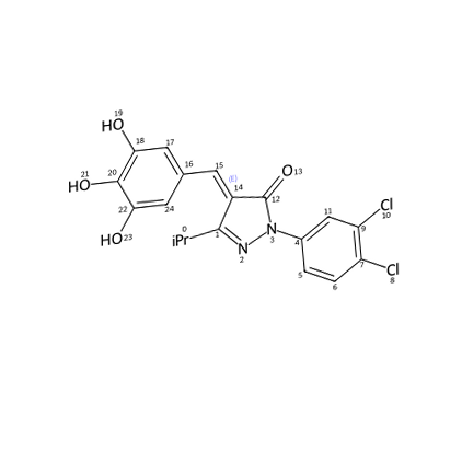 CC(C)C1=NN(c2ccc(Cl)c(Cl)c2)C(=O)/C1=C/c1cc(O)c(O)c(O)c1